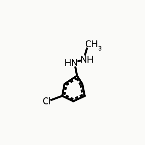 CNNc1cccc(Cl)c1